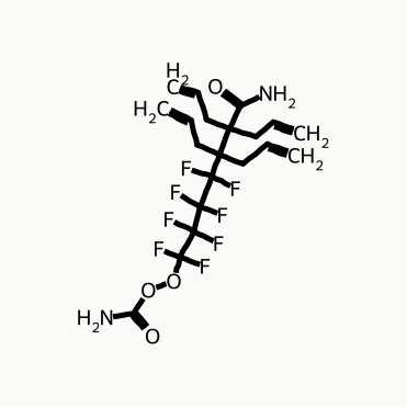 C=CCC(CC=C)(C(N)=O)C(CC=C)(CC=C)C(F)(F)C(F)(F)C(F)(F)C(F)(F)OOC(N)=O